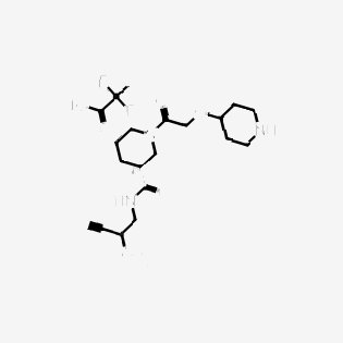 C#CC(CNC(=O)[C@@H]1CCCN(C(=O)COC2CCNCC2)C1)C(=O)OCC.O=C(O)C(F)(F)F